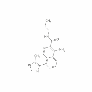 CCCNC(=O)c1ncc2c(-c3nc[nH]c3C)cccc2c1N